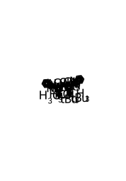 COc1c(N(C)c2cc(C(C)(C)CC(C)(C)C)cc(-n3nc4ccccc4n3)c2O)cc(C(C)(C)CC(C)(C)C)cc1-n1nc2ccccc2n1